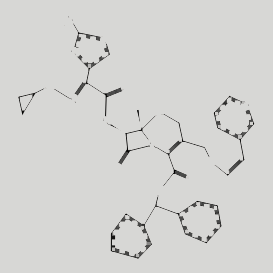 Nc1nc(C(=NOC2CC2)C(=O)N[C@@H]2C(=O)N3C(C(=O)OC(c4ccccc4)c4ccccc4)=C(CS/C=C\c4cccnc4)CS[C@@H]23)cs1